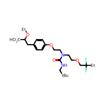 CCOC(Cc1ccc(OCCN(CCOCC(F)(F)CC)C(=O)NCC(C)(C)C)cc1)C(=O)O